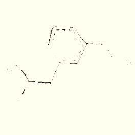 N[C@@H](Cc1cccc(OS(=O)(=O)O)c1)C(=O)O